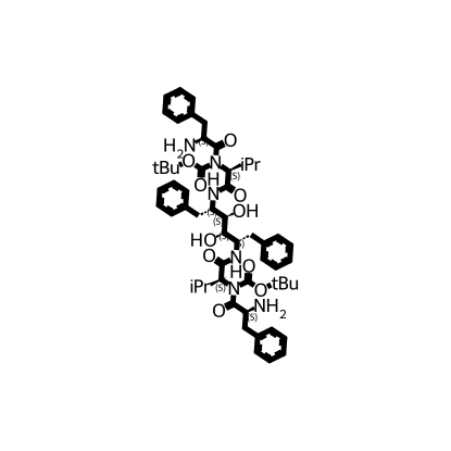 CC(C)[C@@H](C(=O)N[C@@H](Cc1ccccc1)[C@H](O)[C@@H](O)[C@H](Cc1ccccc1)NC(=O)[C@H](C(C)C)N(C(=O)OC(C)(C)C)C(=O)[C@@H](N)Cc1ccccc1)N(C(=O)OC(C)(C)C)C(=O)[C@@H](N)Cc1ccccc1